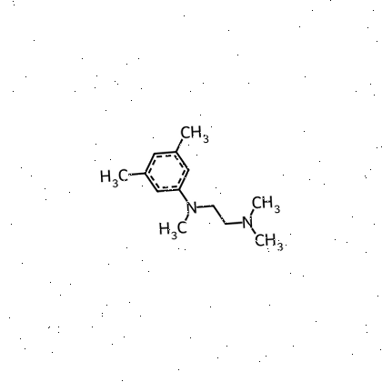 Cc1cc(C)cc(N(C)CCN(C)C)c1